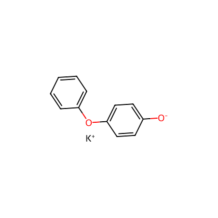 [K+].[O-]c1ccc(Oc2ccccc2)cc1